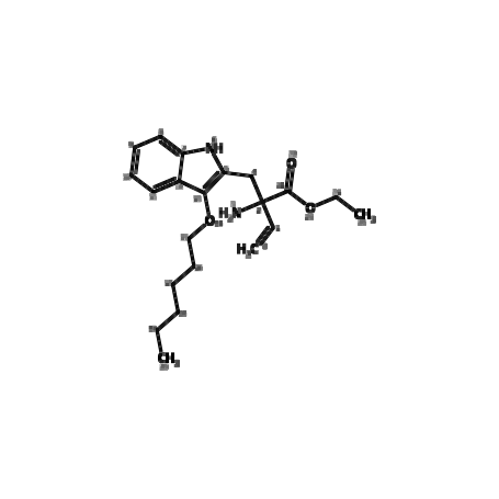 C=CC(N)(Cc1[nH]c2ccccc2c1OCCCCCC)C(=O)OCC